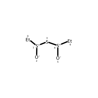 CC[S+]([O-])S[S+]([O-])CC